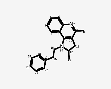 Cc1nc2ccccc2c2c1CC(C)N2CCc1ccccc1